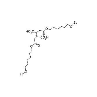 CCOCCCCCCOC(=O)C/C(C(=O)O)=C(/CC(=O)OCCCCCCOCC)C(=O)O